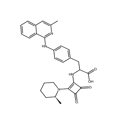 Cc1cc2ccccc2c(Nc2ccc(CC(Nc3c(N4CCCC[C@@H]4C)c(=O)c3=O)C(=O)O)cc2)n1